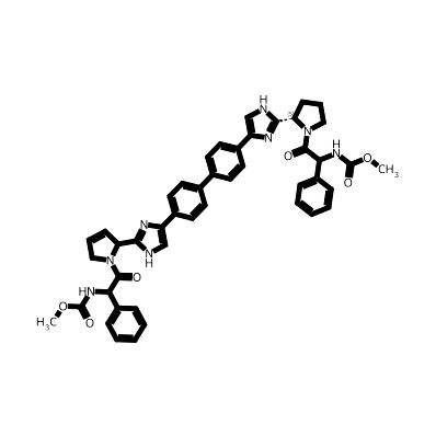 COC(=O)NC(C(=O)N1CC=CC1c1nc(-c2ccc(-c3ccc(-c4c[nH]c([C@@H]5CCCN5C(=O)C(NC(=O)OC)c5ccccc5)n4)cc3)cc2)c[nH]1)c1ccccc1